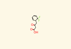 O=C(O)CC(=O)CC1C=CC=CC1(F)F